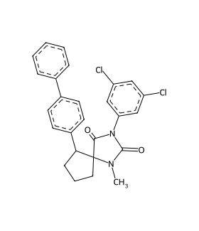 CN1C(=O)N(c2cc(Cl)cc(Cl)c2)C(=O)C12CCCC2c1ccc(-c2ccccc2)cc1